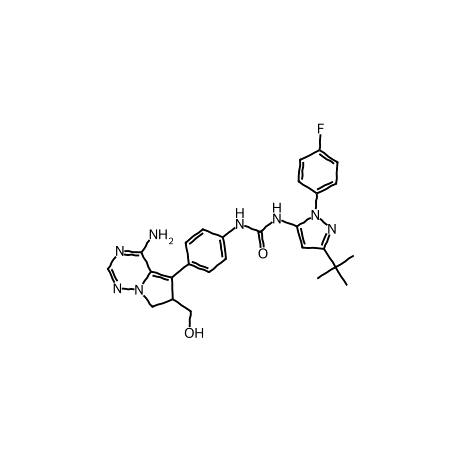 CC(C)(C)c1cc(NC(=O)Nc2ccc(C3=C4C(N)=NC=NN4CC3CO)cc2)n(-c2ccc(F)cc2)n1